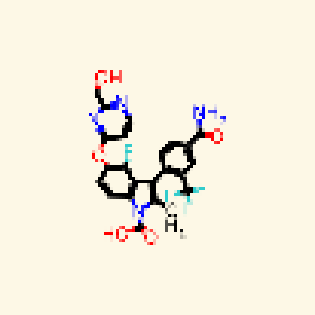 Cc1c(-c2ccc(C(N)=O)cc2C(F)(F)F)c2c(F)c(Oc3ccnc(CO)n3)ccc2n1C(=O)O